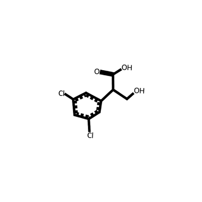 O=C(O)C(CO)c1cc(Cl)cc(Cl)c1